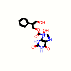 O=C(OCC(=CO)c1ccccc1)[N+]1(O)C=Nc2c1[nH]c(=O)[nH]c2=O